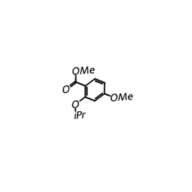 COC(=O)c1ccc(OC)cc1OC(C)C